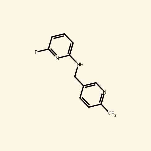 Fc1cccc(NCc2ccc(C(F)(F)F)nc2)n1